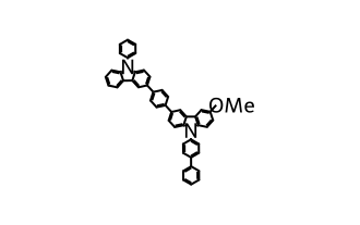 COc1ccc2c(c1)c1cc(-c3ccc(-c4ccc5c(c4)c4ccccc4n5-c4ccccc4)cc3)ccc1n2-c1ccc(-c2ccccc2)cc1